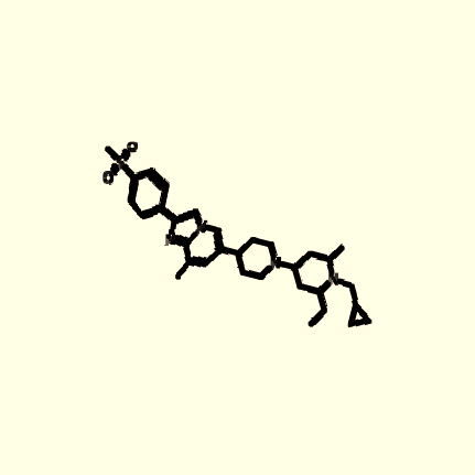 CCC1CC(N2CCC(c3cc(C)c4nc(-c5ccc(S(C)(=O)=O)cc5)cn4c3)CC2)CC(C)N1CC1CC1